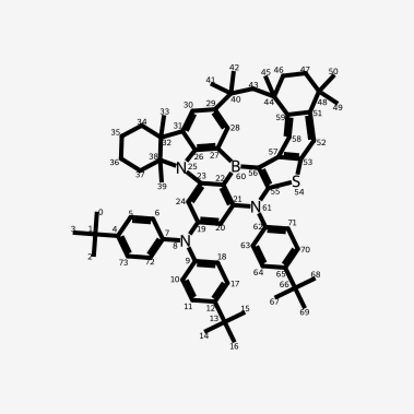 CC(C)(C)c1ccc(N(c2ccc(C(C)(C)C)cc2)c2cc3c4c(c2)N2c5c6cc(cc5C5(C)CCCCC25C)C(C)(C)CC2(C)CCC(C)(C)c5cc7sc(c(c7cc52)B64)N3c2ccc(C(C)(C)C)cc2)cc1